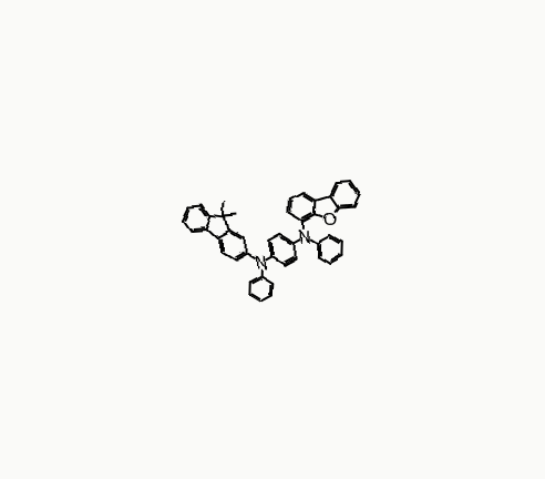 CC1(C)c2ccccc2-c2ccc(N(c3ccccc3)c3ccc(N(c4ccccc4)c4cccc5c4oc4ccccc45)cc3)cc21